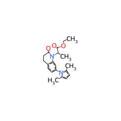 CCOC(=O)C(C)N1C(=O)CCc2ccc(-n3c(C)ccc3C)cc21